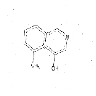 Cc1cccc2cncc(O)c12